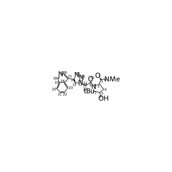 CNC(=O)C1CC(O)CN1C(=O)[C@@H](n1cc(-c2cncc3ccccc23)nn1)C(C)(C)C